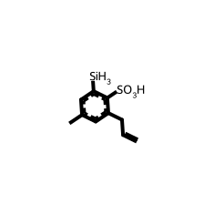 C=CCc1cc(C)cc([SiH3])c1S(=O)(=O)O